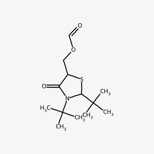 CC(C)(C)C1SC(COC=O)C(=O)N1C(C)(C)C